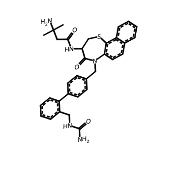 CC(C)(N)CC(=O)NC1CSc2c(ccc3ccccc23)N(Cc2ccc(-c3ccccc3CNC(N)=O)cc2)C1=O